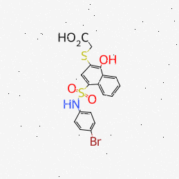 O=C(O)CSc1cc(S(=O)(=O)Nc2ccc(Br)cc2)c2ccccc2c1O